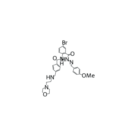 COc1ccc(C=NNC(=O)c2cc(Br)ccc2NC(=O)c2ccc(CNCCN3CCOCC3)cc2)cc1